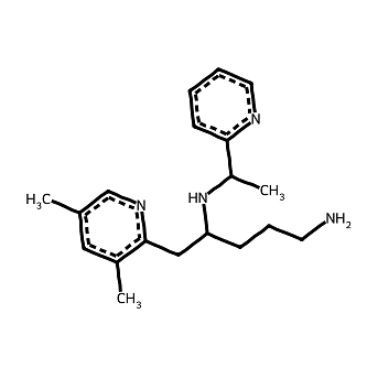 Cc1cnc(CC(CCCN)NC(C)c2ccccn2)c(C)c1